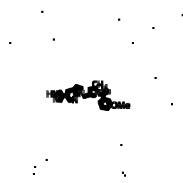 COc1cccc(C(=O)N2CC(Cn3ccc4cc(-c5cn[nH]c5)cnc43)CC2(C)C)c1